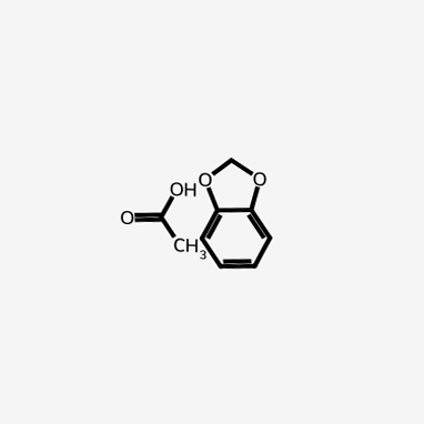 CC(=O)O.c1ccc2c(c1)OCO2